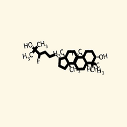 CC(C)(O)C(F)CCC[C@H]1CC[C@@]2(C)C3=C(CC[C@]12C)[C@@]1(C)CC[C@H](O)C(C)(C)[C@@H]1CC3